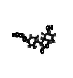 CCCCCCCCOc1ccc(C2C(=O)Oc3ccc(O)cc32)cc1